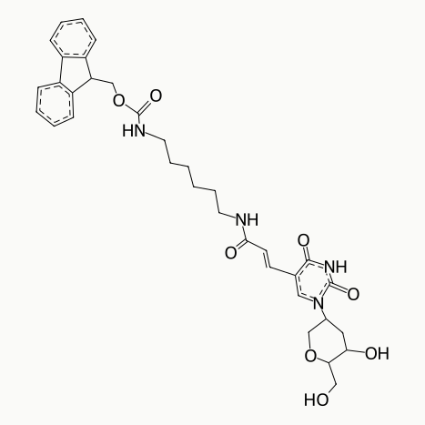 O=C(/C=C/c1cn(C2COC(CO)C(O)C2)c(=O)[nH]c1=O)NCCCCCCNC(=O)OCC1c2ccccc2-c2ccccc21